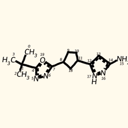 CC(C)(C)c1nnc(C2CCC(c3cc(N)n[nH]3)C2)o1